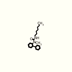 CCCCCCCNC(=O)N(C)c1ccccc1-c1ccccc1